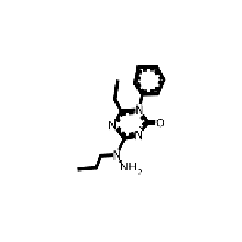 CCCN(N)c1nc(CC)n(-c2ccccc2)c(=O)n1